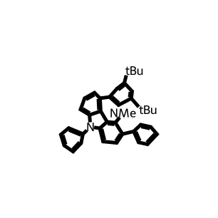 CNc1c(-c2ccccc2)ccc2c1c1c(-c3cc(C(C)(C)C)cc(C(C)(C)C)c3)cccc1n2-c1ccccc1